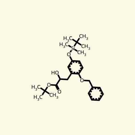 CC(C)(C)OC(=O)C(O)Cc1cc(O[Si](C)(C)C(C)(C)C)ccc1OCc1ccccc1